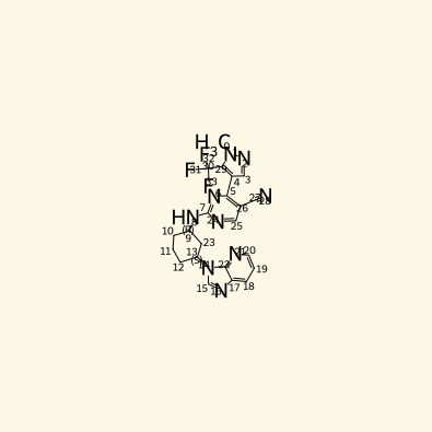 Cn1ncc(-c2nc(N[C@@H]3CCC[C@H](n4cnc5cccnc54)C3)ncc2C#N)c1C(F)(F)F